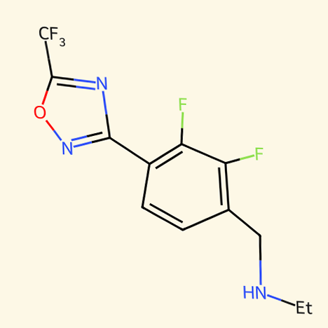 CCNCc1ccc(-c2noc(C(F)(F)F)n2)c(F)c1F